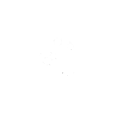 CC(C)(C)NCCCn1c(Sc2cc3c(cc2-c2ncco2)OCCO3)nc2c(N)ncnc21